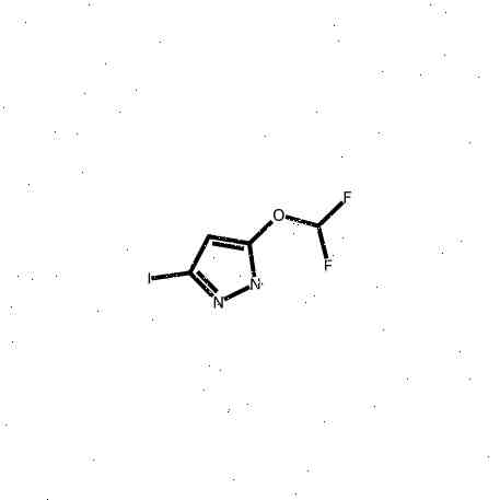 FC(F)OC1=CC(I)=N[N]1